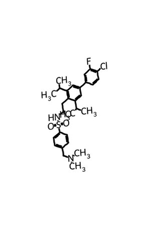 CC(C)c1cc(-c2ccc(Cl)c(F)c2)cc(C(C)C)c1CC(=O)NS(=O)(=O)c1ccc(CN(C)C)cc1